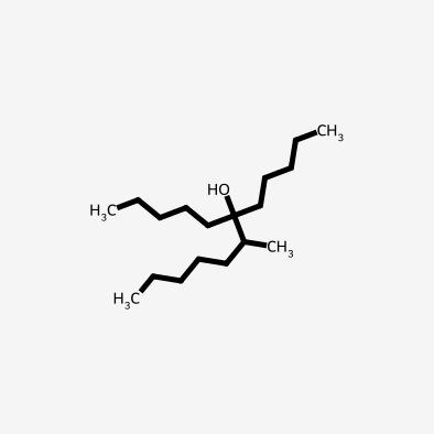 CCCCCC(C)C(O)(CCCCC)CCCCC